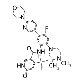 CC1CN(c2cc(F)c(-c3ccc(N4CCOCC4)nc3)cc2NC(=O)c2c[nH]c(=O)cc2C(F)(F)F)CCN1C